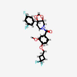 COc1cc(C(=O)N2CC[C@]3(c4cc(F)cc(F)c4)OCOC3C2)ccc1OCC1CC(F)(F)C1